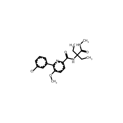 CCC(CC)(NC(=O)c1ccc(OC)c(-c2cccc(Cl)c2)n1)C(=O)NC